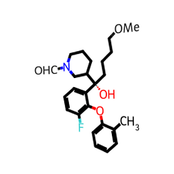 COCCCC[C@@](O)(c1cccc(F)c1Oc1ccccc1C)C1CCCN(C=O)C1